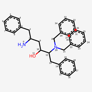 NC(Cc1ccccc1)CC(O)C(Cc1ccccc1)N(Cc1ccccc1)Cc1ccccc1